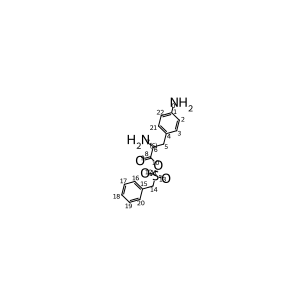 Nc1ccc(C[C@H](N)C(=O)OS(=O)(=O)Cc2ccccc2)cc1